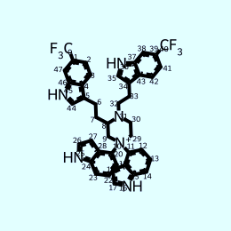 FC(F)(F)c1ccc2c(CCC3C[N+](c4cccc5[nH]ccc45)(c4cccc5[nH]ccc45)CCN3CCc3c[nH]c4cc(C(F)(F)F)ccc34)c[nH]c2c1